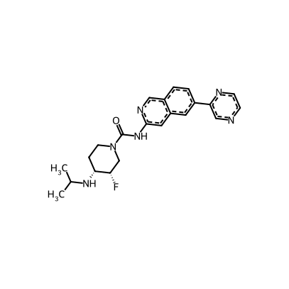 CC(C)N[C@@H]1CCN(C(=O)Nc2cc3cc(-c4cnccn4)ccc3cn2)C[C@@H]1F